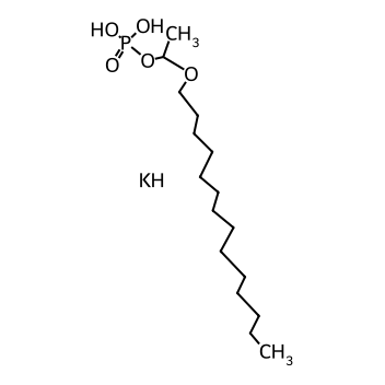 CCCCCCCCCCCCCCOC(C)OP(=O)(O)O.[KH]